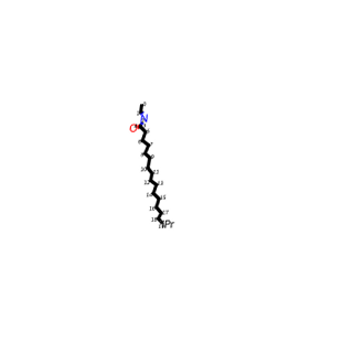 CC=NC(=O)CCCCCCCCCCCCCCC(C)C